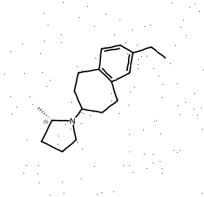 CCc1ccc2c(c1)CCC(N1CCC[C@@H]1C)CC2